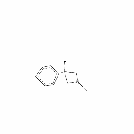 CN1CC(F)(c2ccccc2)C1